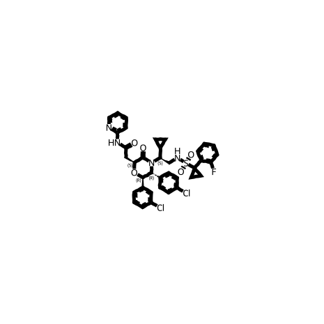 O=C(C[C@@H]1O[C@H](c2cccc(Cl)c2)[C@@H](c2ccc(Cl)cc2)N([C@H](CNS(=O)(=O)C2(c3ccccc3F)CC2)C2CC2)C1=O)Nc1ccccn1